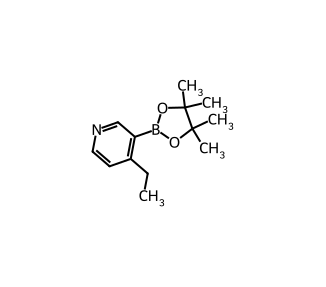 CCc1ccncc1B1OC(C)(C)C(C)(C)O1